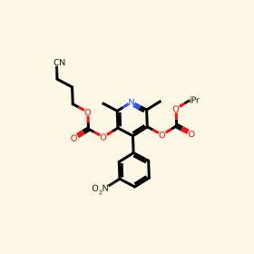 Cc1nc(C)c(OC(=O)OC(C)C)c(-c2cccc([N+](=O)[O-])c2)c1OC(=O)OCCCC#N